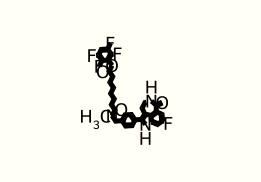 CN(Cc1ccc(-c2[nH]c3cc(F)cc4c3c2CCNC4=O)cc1)C(=O)CCCCCCC(=O)Oc1c(F)c(F)cc(F)c1F